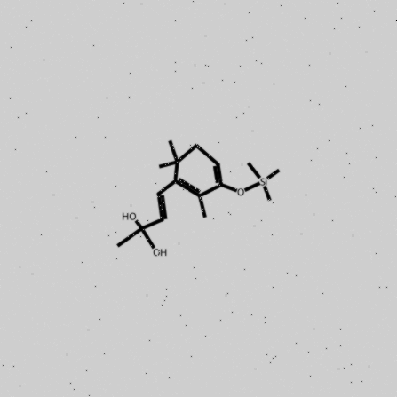 CC1=C(/C=C/C(C)(O)O)C(C)(C)CC=C1O[Si](C)(C)C